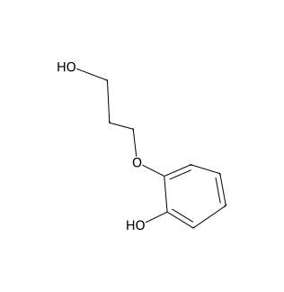 OCCCOc1ccccc1O